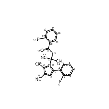 N#Cc1cc(-c2ccccc2F)n(C(C#N)(C#N)CC(=O)c2ccccc2F)c1Cl